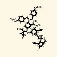 COc1ccc(CN(Cc2ccc(OC)cc2)c2ncccc2[C@@H](C)N(C)c2nc(OCC3(CCl)CC3(F)F)nc(N3CC4(C3)SCc3sc(N)c(C#N)c34)c2C#N)cc1